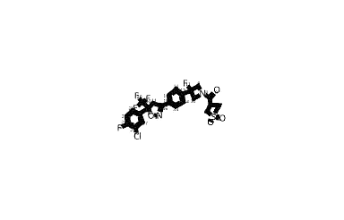 O=C(C1CS(=O)(=O)C1)N1CC(F)(c2ccc(C3=NOC(c4ccc(F)c(Cl)c4)(C(F)(F)F)C3)cc2)C1